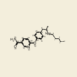 CCCCCNC(C)Cc1ccc(Oc2ccc(C(N)=O)cn2)cc1